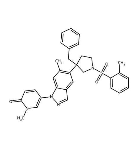 Cc1cc2c(cnn2-c2ccc(=O)n(C)c2)cc1C1(Cc2ccccc2)CCN(S(=O)(=O)c2ccccc2C)C1